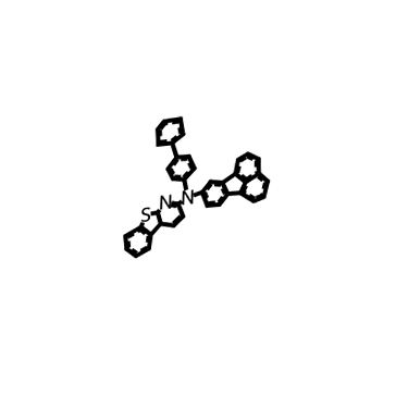 C1=CC2c3ccccc3SC2N=C1N(c1ccc(-c2ccccc2)cc1)c1ccc2c(c1)-c1cccc3cccc-2c13